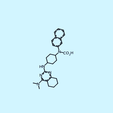 CN(C)c1nc(NC2CCC(N(C(=O)O)c3ccc4ccccc4c3)CC2)nc2c1CCCC2